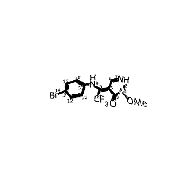 CON(C)C(=O)/C(C=N)=C(/Nc1ccc(Br)cc1)C(F)(F)F